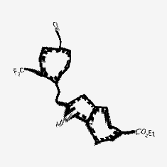 CCOC(=O)c1ccc2[nH]c(Cc3ccc(Cl)cc3C(F)(F)F)cc2c1